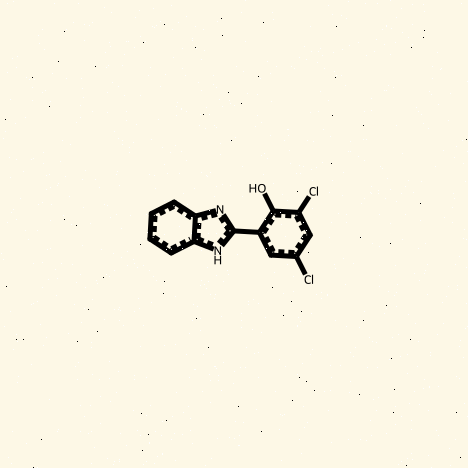 Oc1c(Cl)cc(Cl)cc1-c1nc2ccccc2[nH]1